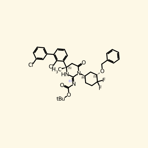 CC(C)(C)OC(=O)/N=C1\N[C@](C)(c2cccc(-c3cccc(Cl)c3)c2Cl)CC(=O)N1[C@@H]1CCC(F)(F)[C@@H](OCc2ccccc2)C1